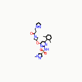 Cc1cccc(C)c1-c1cc(OC2CN(C(=O)CCn3cccn3)C2)nc(NS(=O)(=O)c2cnn(C)c2)n1